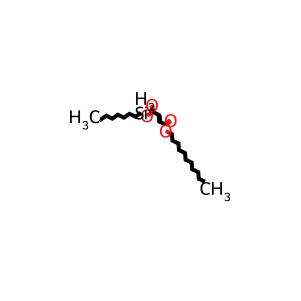 CCCCCCCCCCCCOC(=O)/C=C/C(=O)O[SiH2]CCCCCCCC